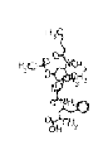 CCCCC(=O)N(C)C(CC(OC(C)=O)c1nc(C(=O)NC(Cc2ccccc2)CC(C)C(=O)O)cs1)C(C)C